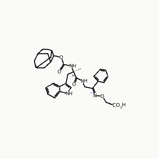 C[C@](Cc1c[nH]c2ccccc12)(NC(=O)OC1C2CC3CC(C2)CC1C3)C(=O)NC/C(=N/OCC(=O)O)c1ccccc1